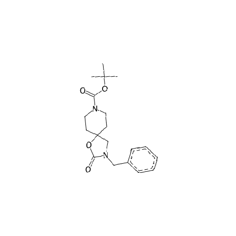 CC(C)(C)OC(=O)N1CCC2(CC1)CN(Cc1ccccc1)C(=O)O2